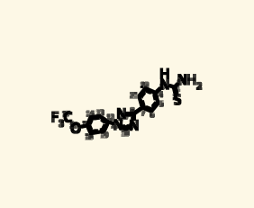 NC(=S)Nc1ccc(-c2ncn(-c3ccc(OC(F)(F)F)cc3)n2)cc1